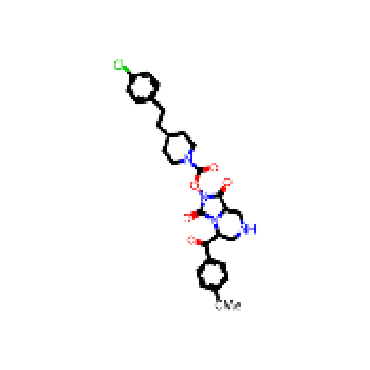 COc1ccc(C(=O)C2CNCC3C(=O)N(OC(=O)N4CCC(CCc5ccc(Cl)cc5)CC4)C(=O)N23)cc1